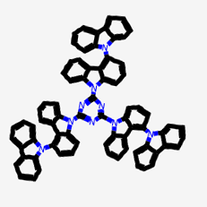 c1ccc2c(c1)c1ccccc1n2-c1cccc2c1c1ccccc1n2-c1nc(-n2c3ccccc3c3c(-n4c5ccccc5c5ccccc54)cccc32)nc(-n2c3ccccc3c3c(-n4c5ccccc5c5ccccc54)cccc32)n1